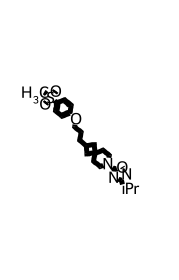 CC(C)c1noc(N2CCC3(CC2)CC(CCCOc2ccc(S(C)(=O)=O)cc2)C3)n1